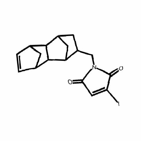 O=C1C=C(I)C(=O)N1CC1CC2CC1C1C3C=CC(C3)C21